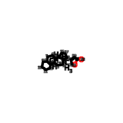 C[C@]12CC[C@H]3[C@@H](CCC4CCCC[C@@]43C)[C@H]1CC[C@@H]2C1=CC(=O)OC1